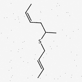 CC=CCSC(C)C/C=C\C